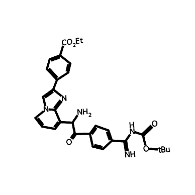 CCOC(=O)c1ccc(-c2cn3cccc(C(N)C(=O)c4ccc(C(=N)NC(=O)OC(C)(C)C)cc4)c3n2)cc1